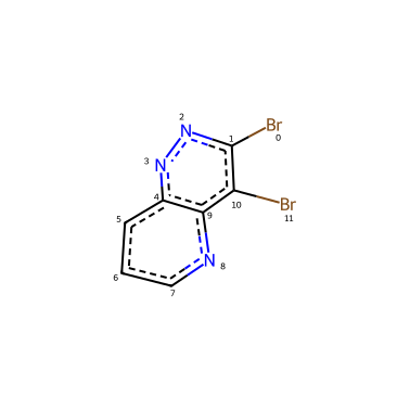 Brc1nnc2cccnc2c1Br